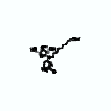 CCCCCCCCCCCCCCCCCCN(c1cc[nH]c(=O)n1)[C@@H]1O[C@H](CO)[C@@H](O)[C@@H]1O